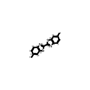 Cc1ccc2nc(-c3nc4ccc(C)cc4s3)sc2c1